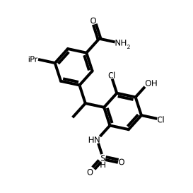 CC(C)c1cc(C(N)=O)cc(C(C)c2c(N[SH](=O)=O)cc(Cl)c(O)c2Cl)c1